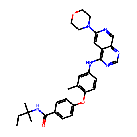 CCC(C)(C)NC(=O)c1ccc(Oc2ccc(Nc3ncnc4cnc(N5CCOCC5)cc34)cc2C)cc1